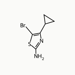 Nc1nc(C2CC2)c(Br)s1